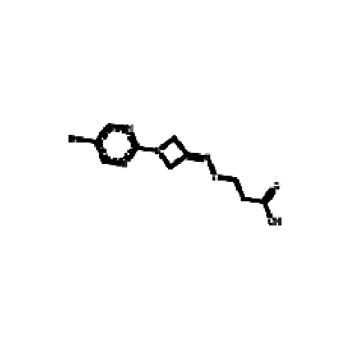 O=C(O)CCON=C1CN(c2ncc(Br)cn2)C1